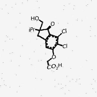 CC(C)C1(CO)Cc2cc(OCC(=O)O)c(Cl)c(Cl)c2C1=O